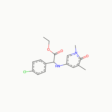 CCOC(=O)C(Nc1cc(C)c(=O)n(C)c1)c1ccc(Cl)cc1